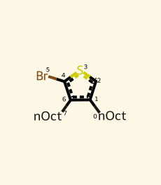 CCCCCCCCc1[c]sc(Br)c1CCCCCCCC